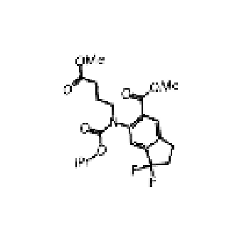 COC(=O)CCCN(C(=O)OC(C)C)c1cc2c(cc1C(=O)OC)CCC2(F)F